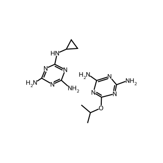 CC(C)Oc1nc(N)nc(N)n1.Nc1nc(N)nc(NC2CC2)n1